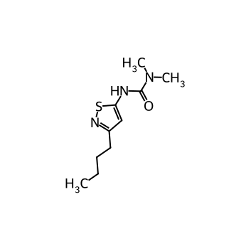 CCCCc1cc(NC(=O)N(C)C)sn1